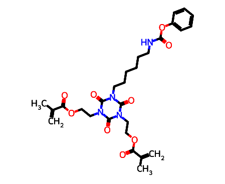 C=C(C)C(=O)OCCn1c(=O)n(CCCCCCNC(=O)Oc2ccccc2)c(=O)n(CCOC(=O)C(=C)C)c1=O